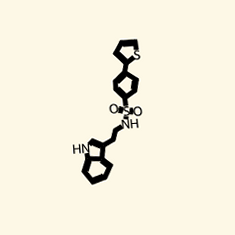 O=S(=O)(NCCc1c[nH]c2ccccc12)c1ccc(-c2cccs2)cc1